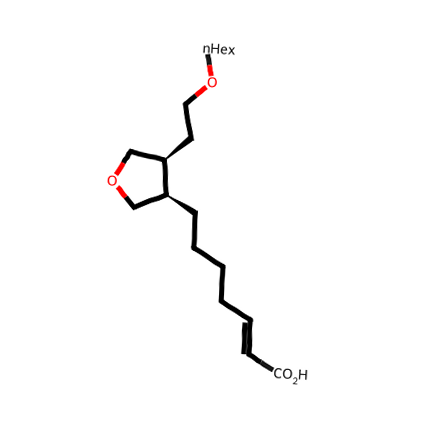 CCCCCCOCC[C@@H]1COC[C@@H]1CCCCC=CC(=O)O